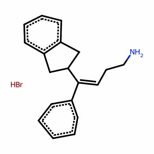 Br.NCC/C=C(/c1ccccc1)C1Cc2ccccc2C1